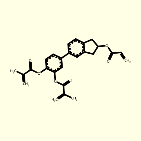 C=CC(=O)OC1Cc2ccc(-c3ccc(OC(=O)C(=C)C)c(OC(=O)C(=C)C)c3)cc2C1